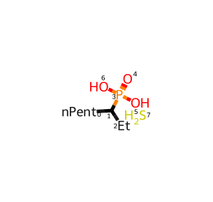 CCCCCC(CC)P(=O)(O)O.S